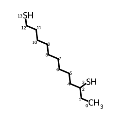 CCC(S)CCCCCCCCCS